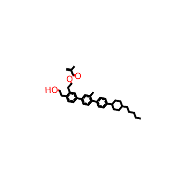 C=C(C)C(=O)OCCc1cc(-c2ccc(-c3ccc(C4CCC(CCCCC)CC4)cc3)c(C)c2)ccc1CCO